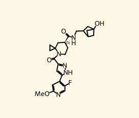 COc1cc(-c2cc(C(=O)N3CC[C@H](C(=O)NCC4CC5(O)CC4C5)CC34CC4)n[nH]2)c(F)cn1